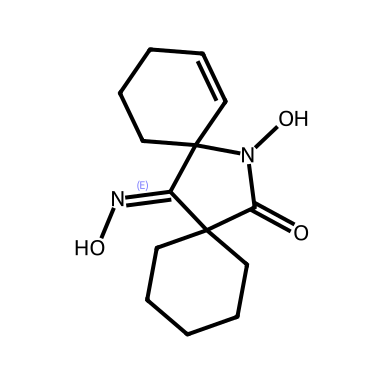 O=C1N(O)C2(C=CCCC2)/C(=N/O)C12CCCCC2